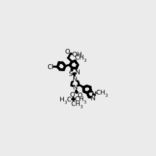 Cc1cc2nc(N3CCN(C(=O)OC(C)(C)C)C(c4ccc5c(cnn5C)c4)C3)sc2c(-c2ccc(Cl)cc2)c1CC(=O)O